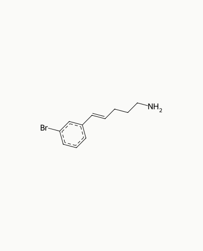 NCCCC=Cc1cccc(Br)c1